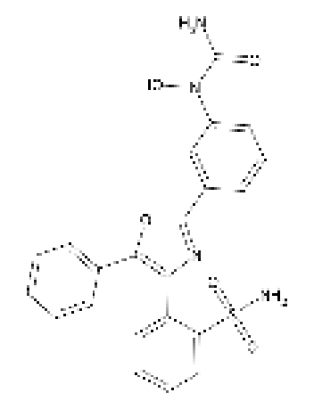 NC(=O)N(O)c1cccc(-c2nc(-c3ccccc3S(N)(=O)=O)c(-c3ccccc3)o2)c1